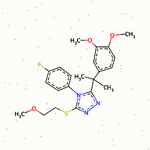 COCCSc1nnc(C(C)(C)c2ccc(OC)c(OC)c2)n1-c1ccc(F)cc1